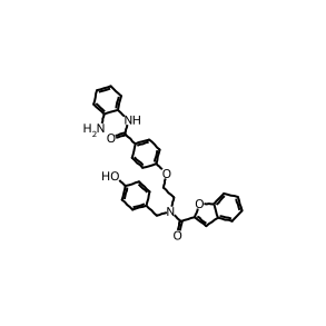 Nc1ccccc1NC(=O)c1ccc(OCCN(Cc2ccc(O)cc2)C(=O)c2cc3ccccc3o2)cc1